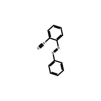 N#[N+]c1ccccc1N=Nc1ccccc1